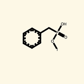 O=P(O)(Cc1ccccc1)OI